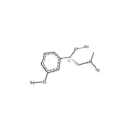 [2H]Oc1cccc([C@@H](CN([2H])C)O[2H])c1